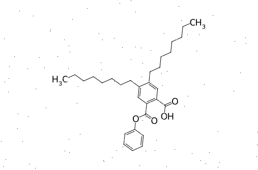 CCCCCCCCc1cc(C(=O)O)c(C(=O)Oc2ccccc2)cc1CCCCCCCC